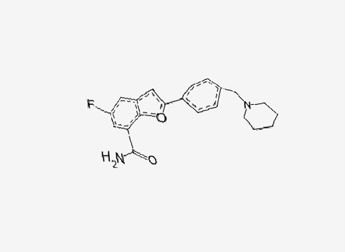 NC(=O)c1cc(F)cc2cc(-c3ccc(CN4CCCCC4)cc3)oc12